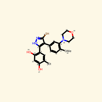 CCc1cc(-c2[nH]nc(S)c2-c2ccc(OC)c(N3CCOCC3)c2)c(O)cc1O